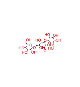 O=CC(O)C(O[C@H]1O[C@H](CO)[C@H](O)[C@H](O)[C@H]1O)C(O)C(O)CO[C@H]1O[C@H](CO)[C@H](O)[C@H](O)[C@H]1O